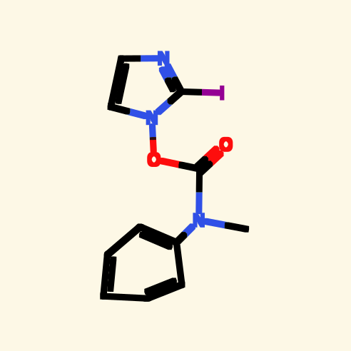 CN(C(=O)On1ccnc1I)c1ccccc1